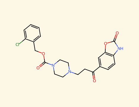 O=C(CCN1CCN(C(=O)OCc2ccccc2Cl)CC1)c1ccc2[nH]c(=O)oc2c1